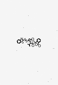 C=C(C)C(C(=O)OC1OC(=O)c2ccccc21)N1C(=O)CC1SSc1nc2ccccc2s1